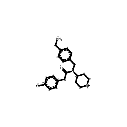 NCc1ccc(CN(C(=O)Cc2ccc(Cl)cc2)C2CCNCC2)cc1